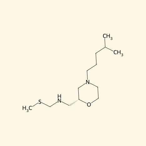 CSCNC[C@@H]1CN(CCCC(C)C)CCO1